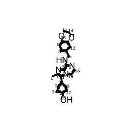 Cc1nc2c(NCc3ccc4c(c3)OCCO4)nccn2c1-c1ccc(O)cc1